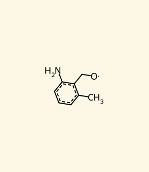 Cc1cccc(N)c1C[O]